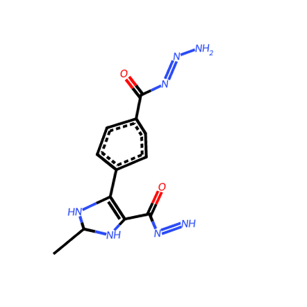 CC1NC(C(=O)N=N)=C(c2ccc(C(=O)N=NN)cc2)N1